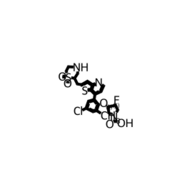 Cc1cc(Cl)cc(-c2ccnc3cc(CC4CNCCS4(=O)=O)sc23)c1O[C@@H]1CN(C(=O)O)C[C@@H]1F